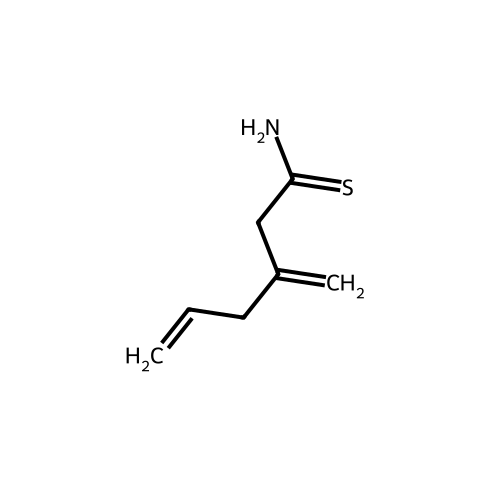 C=CCC(=C)CC(N)=S